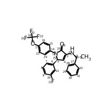 C[C@@H](NC1=C[C@@H](c2cccc(F)c2)N(c2ccc(OC(F)(F)F)cc2)C1=O)c1ccccc1